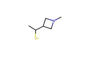 CC(S)C1CN(C)C1